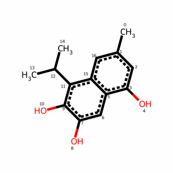 Cc1cc(O)c2cc(O)c(O)c(C(C)C)c2c1